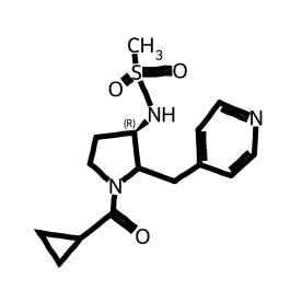 CS(=O)(=O)N[C@@H]1CCN(C(=O)C2CC2)C1Cc1ccncc1